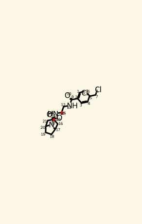 C/C=C(\C=C/C(Cl)CCl)C(=O)NCCNC1CC2CCC(C1)N2C(=O)OC